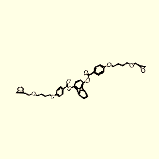 O=C(Oc1ccc(OC(=O)c2ccc(OCCCCOCC3CO3)cc2)c2c1C1CCC2C1)c1ccc(OCCCCOCC2CO2)cc1